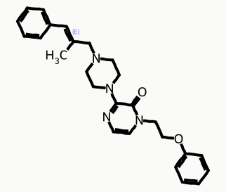 C/C(=C\c1ccccc1)CN1CCN(c2nccn(CCOc3ccccc3)c2=O)CC1